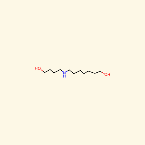 OCCCCCCCNCCCCO